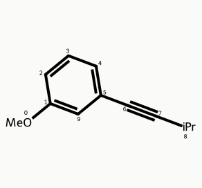 COc1cccc(C#CC(C)C)c1